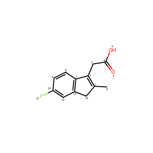 CC1=C(CC(=O)O)c2ccc(F)cc2C1